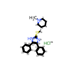 CN1CCC[C@H](CSc2nc(-c3ccccc3)c(-c3ccccc3)[nH]2)C1.Cl